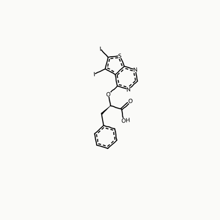 O=C(O)[C@@H](Cc1ccccc1)Oc1ncnc2sc(I)c(I)c12